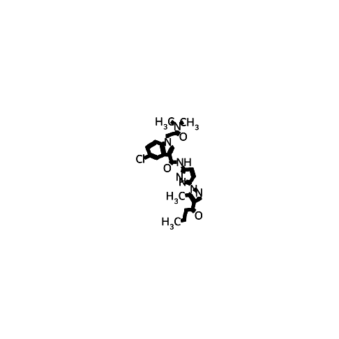 CCCC(=O)c1cnn(-c2ccc(NC(=O)c3cn(CC(=O)N(C)C)c4ccc(Cl)cc34)nn2)c1C